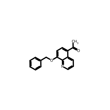 CC(=O)c1ccc(OCc2ccccc2)c2ncccc12